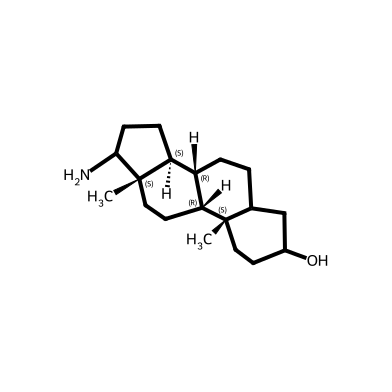 C[C@]12CCC(O)CC1CC[C@@H]1[C@H]2CC[C@]2(C)C(N)CC[C@@H]12